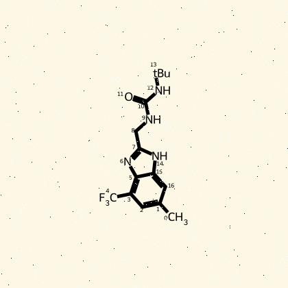 Cc1cc(C(F)(F)F)c2nc(CNC(=O)NC(C)(C)C)[nH]c2c1